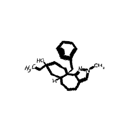 CC[C@]1(O)CC[C@]2(Cc3ccccc3)c3nn(C)cc3CCC[C@@H]2C1